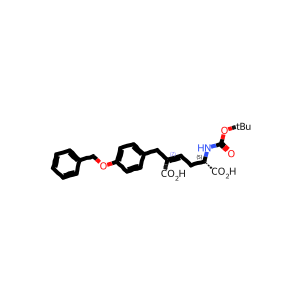 CC(C)(C)OC(=O)N[C@@H](C/C=C(/Cc1ccc(OCc2ccccc2)cc1)C(=O)O)C(=O)O